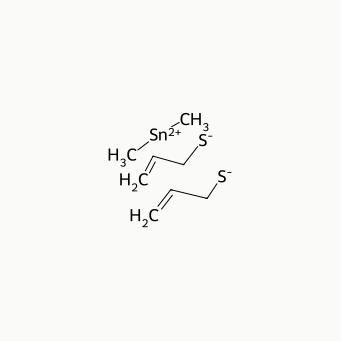 C=CC[S-].C=CC[S-].[CH3][Sn+2][CH3]